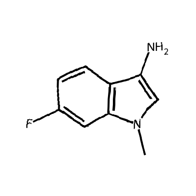 Cn1cc(N)c2ccc(F)cc21